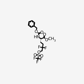 COC(=O)[C@H](CCC(F)(F)COS(=O)(=O)C(F)(F)F)NC(=O)OCc1ccccc1